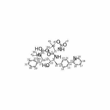 COC(=O)N[C@H](C(=O)N[C@@H](Cc1ccc(-c2ccccn2)cc1)[C@@H](O)C[C@H](Cc1ccccc1)N(C(=O)O)C(C)(C)C)C(C)(C)C